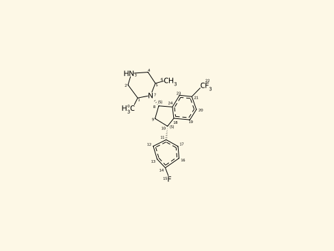 CC1CNCC(C)N1[C@H]1C[C@@H](c2ccc(F)cc2)c2ccc(C(F)(F)F)cc21